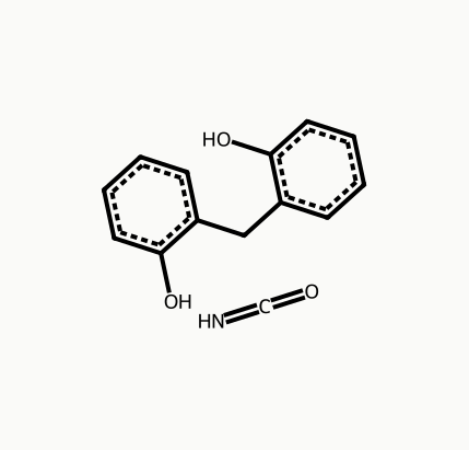 N=C=O.Oc1ccccc1Cc1ccccc1O